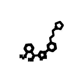 N=C(c1cn(-c2cccc(CCCN3CCCC3)c2)nn1)c1ccccc1N